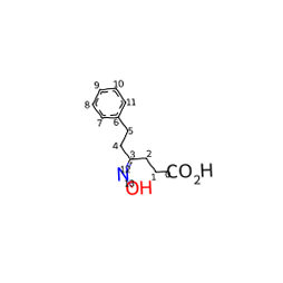 O=C(O)CC/C(CCc1ccccc1)=N\O